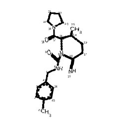 Cc1ccc(CNC(=O)N2C(=N)CCC(C)C2C(=O)N2CCCC2)cc1